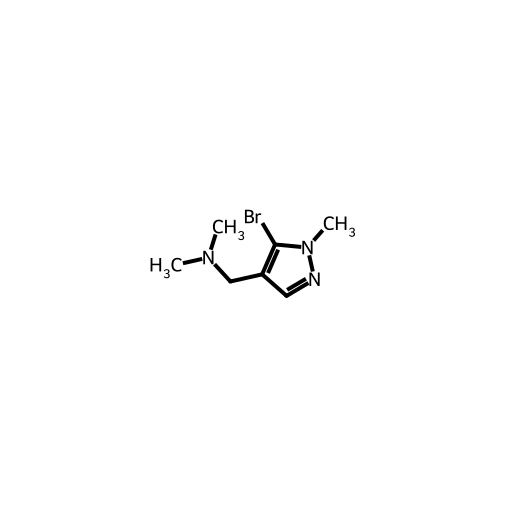 CN(C)Cc1cnn(C)c1Br